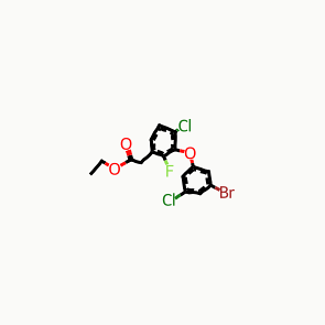 CCOC(=O)Cc1ccc(Cl)c(Oc2cc(Cl)cc(Br)c2)c1F